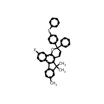 Cc1ccc2c(c1)C(C)(C)c1c3c(c4cc(F)ccc4c1-2)OC(c1ccccc1)(c1ccc(Sc2ccccc2)cc1)C=C3